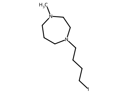 CN1CCCN(CCCCI)CC1